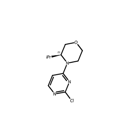 CC(C)[C@H]1COCCN1c1ccnc(Cl)n1